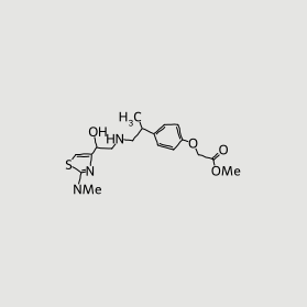 CNc1nc(C(O)CNCC(C)c2ccc(OCC(=O)OC)cc2)cs1